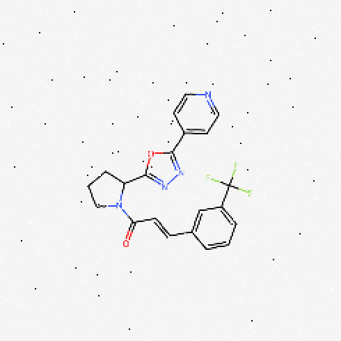 O=C(C=Cc1cccc(C(F)(F)F)c1)N1CCCC1c1nnc(-c2ccncc2)o1